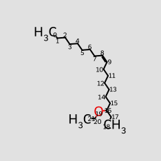 CCCCCCCC/C=C\CCCCCCC(CC)OCC